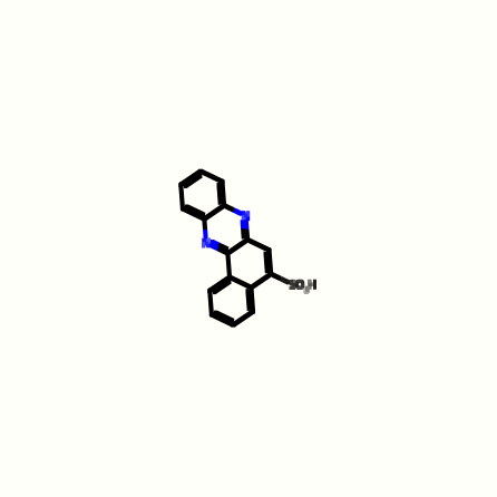 O=S(=O)(O)c1cc2nc3ccccc3nc2c2ccccc12